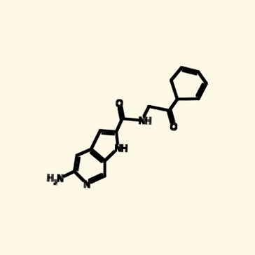 Nc1cc2cc(C(=O)NCC(=O)C3C=CC=CC3)[nH]c2cn1